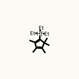 C[CH2][Hf]([CH2]C)([CH2]C)[C]1=C(C)C(C)=C(C)C1(C)C